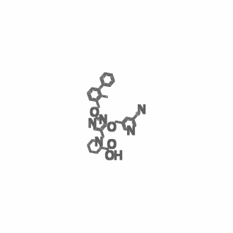 Cc1c(COc2ncc(CN3CCCCC3C(=O)O)c(OCc3cncc(C#N)c3)n2)cccc1-c1ccccc1